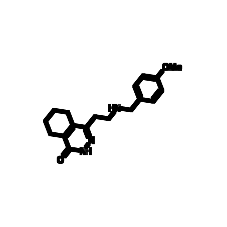 COc1ccc(CNCCc2n[nH]c(=O)c3c2CCCC3)cc1